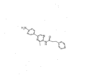 Cc1nc(-c2ccc(N)cc2)cnc1NC(=O)CCc1ccccc1